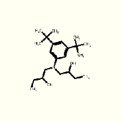 CCC(O)CN(CC(O)CC)c1cc(C(C)(C)C)cc(C(C)(C)C)c1